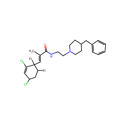 CCC1CC(Cl)C=C(Cl)C1(/C=C(\C)C(=O)NCCN1CCC(Cc2ccccc2)CC1)CC